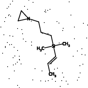 CC=C[Si](C)(C)CCCN1CC1